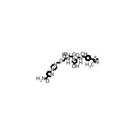 Cc1ncsc1-c1ccc([C@H](C)NC(=O)[C@@H]2C[C@@H](O)CN2C(=O)[C@@H](NC(=O)COCCN2CCN(c3ccc(C(N)=O)cn3)CC2)C(C)(C)C)cc1